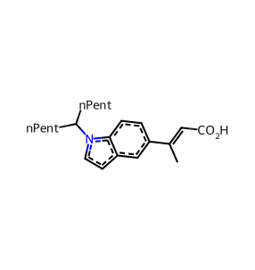 CCCCCC(CCCCC)n1ccc2cc(C(C)=CC(=O)O)ccc21